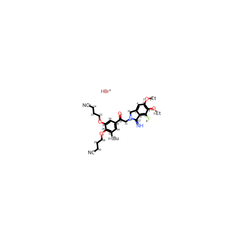 Br.CCOc1cc2c(c(F)c1OCC)C(=N)N(CC(=O)c1cc(OCCCC#N)c(OCCCC#N)c(C(C)(C)C)c1)C2